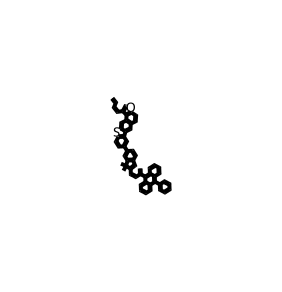 C=C/C=C\c1coc2ccc3cc4c(cc3c12)sc1ccc(-c2ccc3c(c2)C(C)(C)C(/C=C\C(=C)c2c5ccccc5c(-c5ccccc5)c5ccccc25)=C3)cc14